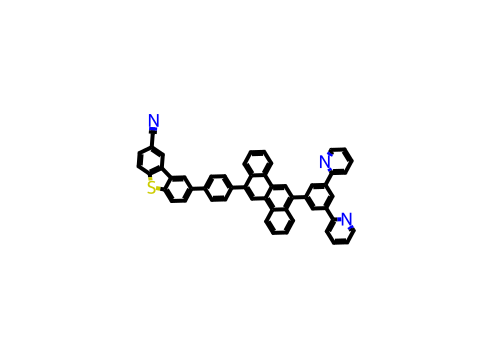 N#Cc1ccc2sc3ccc(-c4ccc(-c5cc6c7ccccc7c(-c7cc(-c8ccccn8)cc(-c8ccccn8)c7)cc6c6ccccc56)cc4)cc3c2c1